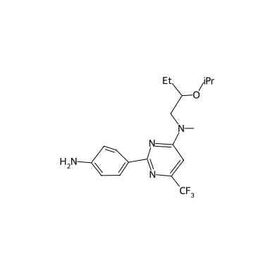 CCC(CN(C)c1cc(C(F)(F)F)nc(-c2ccc(N)cc2)n1)OC(C)C